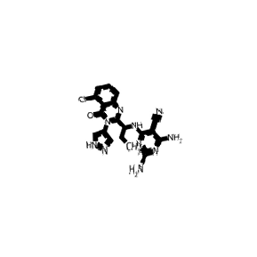 CCC(Nc1nc(N)nc(N)c1C#N)c1nc2cccc(Cl)c2c(=O)n1-c1cn[nH]c1